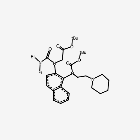 CCN(CC)C(=O)N(CC(=O)OC(C)(C)C)c1ccc2ccccc2c1N(CCN1CCCCC1)C(=O)OC(C)(C)C